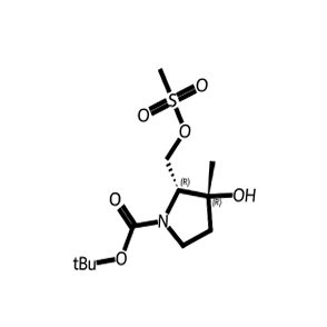 CC(C)(C)OC(=O)N1CC[C@@](C)(O)[C@H]1COS(C)(=O)=O